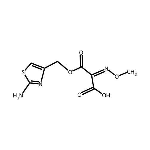 CO/N=C(\C(=O)O)C(=O)OCc1csc(N)n1